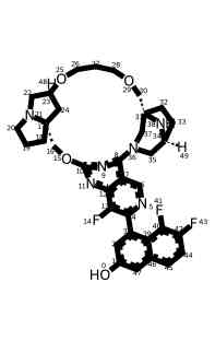 Oc1cc(-c2ncc3c4nc(nc3c2F)OC[C@]23CCCN2C[C@@H](C3)OCCCOC[C@@]23CC[C@@H](CN4C2)N3)c2c(F)c(F)ccc2c1